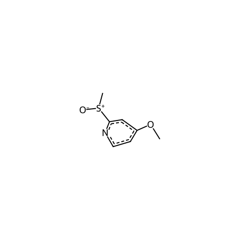 COc1ccnc([S+](C)[O-])c1